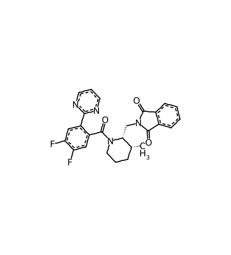 C[C@@H]1CCCN(C(=O)c2cc(F)c(F)cc2-c2ncccn2)[C@@H]1CN1C(=O)c2ccccc2C1=O